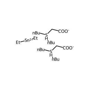 CCCC[SH](CCCC)CC(=O)[O-].CCCC[SH](CCCC)CC(=O)[O-].C[CH2][Sn+2][CH2]C